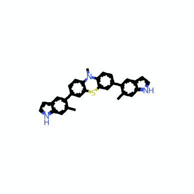 Cc1cc2[nH]ccc2cc1-c1ccc2c(c1)Sc1cc(-c3cc4cc[nH]c4cc3C)ccc1N2C